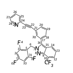 Fc1cc(F)c(Cn2nc3c(C(F)(F)F)cccc3c2-c2cccc(C#Cc3ccccn3)c2)c(F)c1